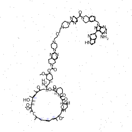 CO[C@H]1C[C@@H]2CC[C@@H](C)[C@@](O)(O2)C(=O)C(=O)N2CCCC[C@H]2C(=O)O[C@H]([C@H](N)C[C@@H]2CC[C@@H](OC(=O)N3CCc4nc(N5CCN(CCOCCN6CCN(c7ncc(C(=O)N8CCc9cc(Cn%10nc(-c%11cnc%12[nH]ccc%12c%11)c%11c(N)ncnc%11%10)ccc9C8)cn7)CC6)CC5)ncc4C3)[C@H](OC)C2)CC(=O)[C@H](C)/C=C(\C)[C@@H](O)[C@@H](OC)C(=O)[C@H](C)C[C@H](C)/C=C/C=C/C=C/1C